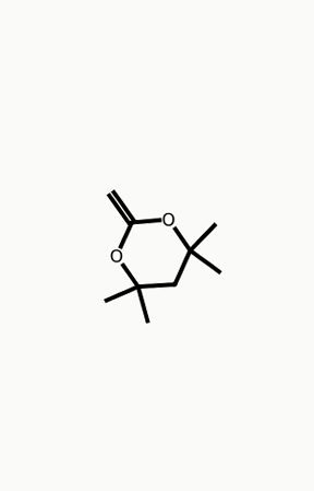 C=C1OC(C)(C)CC(C)(C)O1